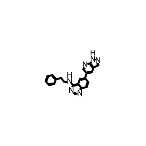 c1ccc(CCNc2ncnc3ccc(-c4cnc5[nH]ncc5c4)cc23)cc1